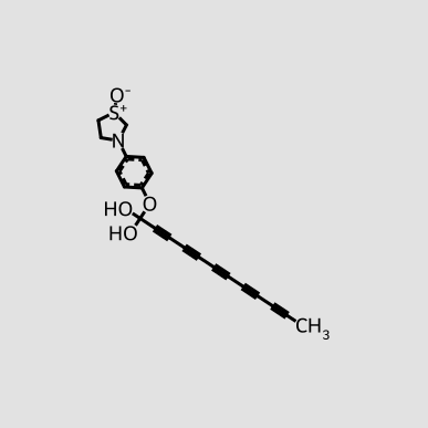 CC#CC#CC#CC#CC#CC(O)(O)Oc1ccc(N2CC[S+]([O-])C2)cc1